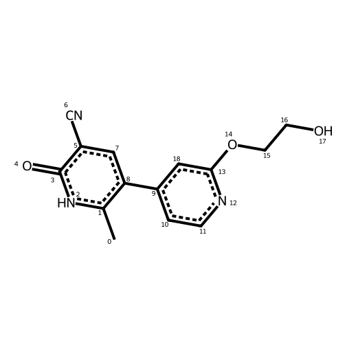 Cc1[nH]c(=O)c(C#N)cc1-c1ccnc(OCCO)c1